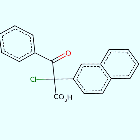 O=C(O)C(Cl)(C(=O)c1ccccc1)c1ccc2ccccc2c1